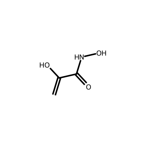 C=C(O)C(=O)NO